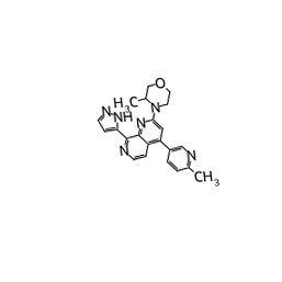 Cc1ccc(-c2cc(N3CCOCC3C)nc3c(-c4ccn[nH]4)nccc23)cn1